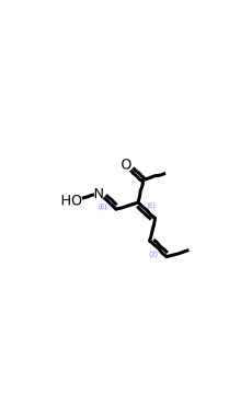 C\C=C/C=C(\C=N\O)C(C)=O